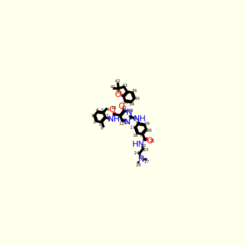 Cc1cccc(C)c1NC(=O)c1cnc(Nc2ccc(C(=O)NCCN(C)C)cc2)nc1Oc1cccc2c1OC(C)(C)C2